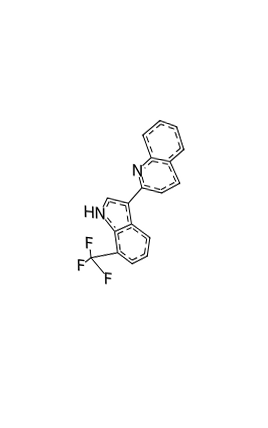 FC(F)(F)c1cccc2c(-c3ccc4ccccc4n3)c[nH]c12